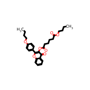 CCCCOC(=O)CCCCC(=O)Oc1c(-c2ccc(OCCCC)cc2)oc2ccccc2c1=O